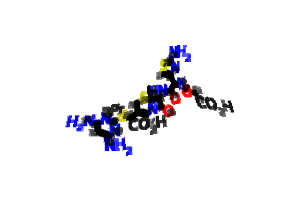 CCCN1C(SCC2=C(C(=O)O)N3C(=O)C(NC(=O)/C(=N\OCC(=O)O)c4csc(N)n4)[C@@H]3SC2)=NC(N)=CC1N